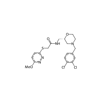 COc1ccc(SCC(=O)NC[C@H]2CN(Cc3ccc(Cl)c(Cl)c3)CCO2)nn1